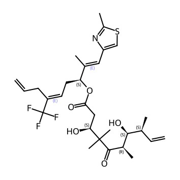 C=CC/C(=C\C[C@H](OC(=O)C[C@H](O)C(C)(C)C(=O)[C@H](C)[C@@H](O)[C@@H](C)C=C)/C(C)=C/c1csc(C)n1)C(F)(F)F